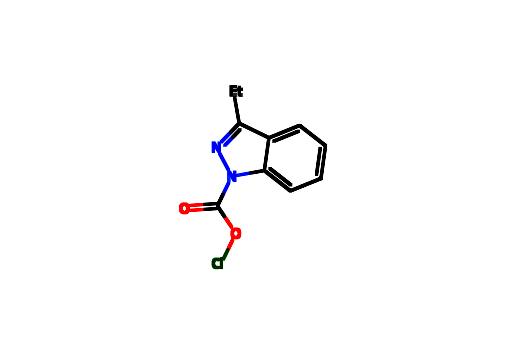 CCc1nn(C(=O)OCl)c2ccccc12